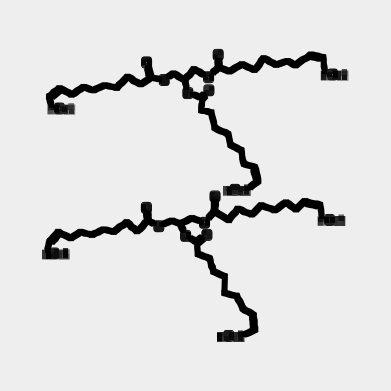 CCCCCCCC/C=C\CCCCCCCC(=O)OCC(COC(=O)CCCCCCC/C=C\CCCCCCCC)OC(=O)CCCCCCC/C=C\CCCCCCCC.CCCCCCCC/C=C\CCCCCCCC(=O)OCC(COC(=O)CCCCCCC/C=C\CCCCCCCC)OC(=O)CCCCCCC/C=C\CCCCCCCC